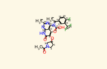 CC(=O)N1CC[C@H](Oc2cc3c(N(C(=O)O)[C@H](C)c4ccc(F)c(C(F)F)c4)nc(C)nc3[nH]c2=O)C1